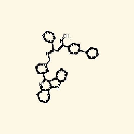 C=N/C(=C\C(=N/Cc1cccc(-c2nc3ccccc3c3sc4ccccc4c23)c1)c1ccccc1)c1ccc(-c2ccccc2)cc1